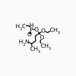 CCOC(CCC(C)N)(OCC)O[PH](=O)CC